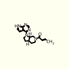 C/C=C/C(=O)N1CC[C@H]2CCN(c3ncnc4[nH]ccc34)[C@@H]2C1